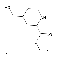 COC(=O)C1CC(CO)CCN1